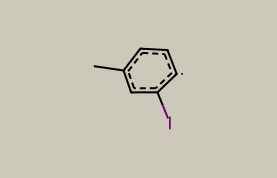 Cc1cc[c]c(I)c1